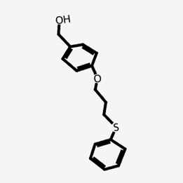 OCc1ccc(OCCCSc2ccccc2)cc1